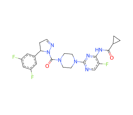 O=C(Nc1nc(N2CCN(C(=O)N3N=CCC3c3cc(F)cc(F)c3)CC2)ncc1F)C1CC1